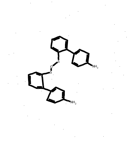 Nc1ccc(-c2ccccc2SOSc2ccccc2-c2ccc(N)cc2)cc1